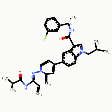 C=C/C(=N\N1C=CC(c2ccc3c(c2)c(C(=O)N[C@@H](C)c2cccc(F)c2)cn3CC(C)C)=CC1=C)NC(=O)C(C)C